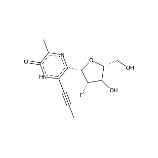 CC#Cc1[nH]c(=O)c(C)nc1[C@@H]1O[C@H](CO)C(O)[C@@H]1F